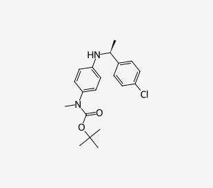 C[C@H](Nc1ccc(N(C)C(=O)OC(C)(C)C)cc1)c1ccc(Cl)cc1